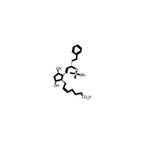 CC(C)(C)[Si](C)(C)O[C@H](/C=C/[C@@H]1[C@@H](C/C=C\CCCC(=O)O)[C@@H](O)C[C@H]1O)CCc1ccccc1